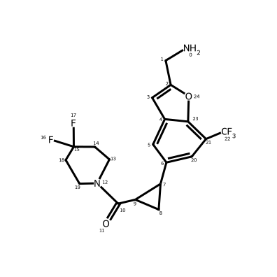 NCc1cc2cc(C3CC3C(=O)N3CCC(F)(F)CC3)cc(C(F)(F)F)c2o1